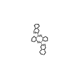 c1ccc2c(c1)/N=C(/c1cc3ccccc3cn1)c1ccccc1/N=C\2c1cc2ccccc2cn1